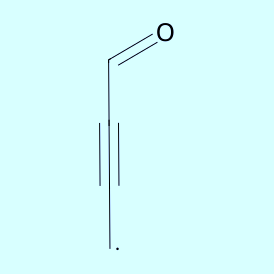 [CH2]C#CC=O